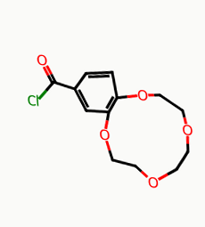 O=C(Cl)c1ccc2c(c1)OCCOCCOCCO2